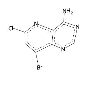 Nc1ncnc2c(Br)cc(Cl)nc12